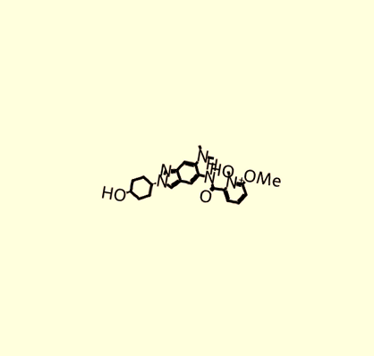 COc1cccc(C(=O)Nc2cc3cn([C@H]4CC[C@H](O)CC4)nc3cc2N(C)C)[n+]1O